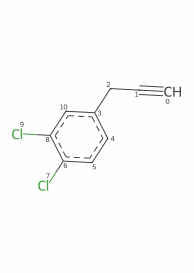 C#CCc1ccc(Cl)c(Cl)c1